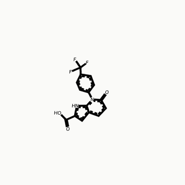 O=C(O)c1cc2ccc(=O)n(-c3ccc(C(F)(F)F)cc3)c2[nH]1